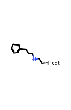 CCCCCCCCC[N]CCCc1ccccc1